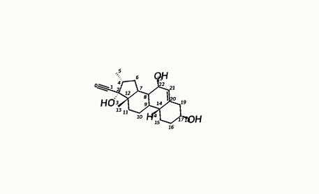 C#C[C@@]1(O)[C@H](C)CC2C3C(CC[C@@]21C)[C@H]1CC[C@H](O)CC1=C[C@@H]3O